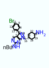 CCCCNc1ncc2c(-c3ccc(Br)cc3)nn(C[C@H]3CC[C@H](N)CC3)c2n1